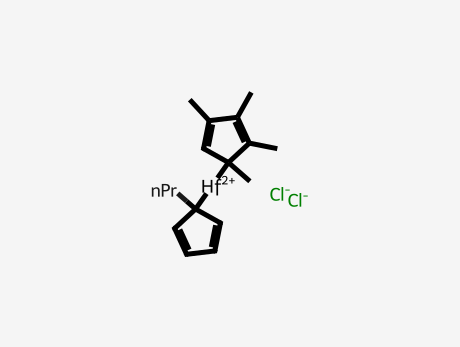 CCC[C]1([Hf+2][C]2(C)C=C(C)C(C)=C2C)C=CC=C1.[Cl-].[Cl-]